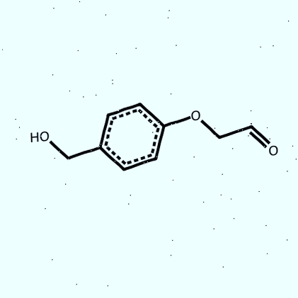 O=[C]COc1ccc(CO)cc1